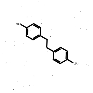 CC(C)(C)c1ccc(CCc2ccc(C(C)(C)C)cc2)cc1